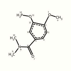 COc1ccc(C(=O)N(C)C)cc1OP